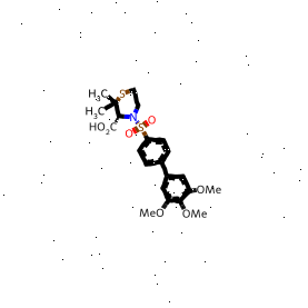 COc1cc(-c2ccc(S(=O)(=O)N3CCSC(C)(C)[C@@H]3C(=O)O)cc2)cc(OC)c1OC